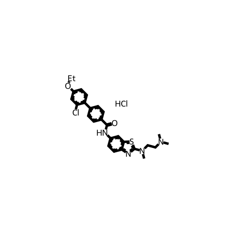 CCOc1ccc(-c2ccc(C(=O)Nc3ccc4nc(N(C)CCN(C)C)sc4c3)cc2)c(Cl)c1.Cl